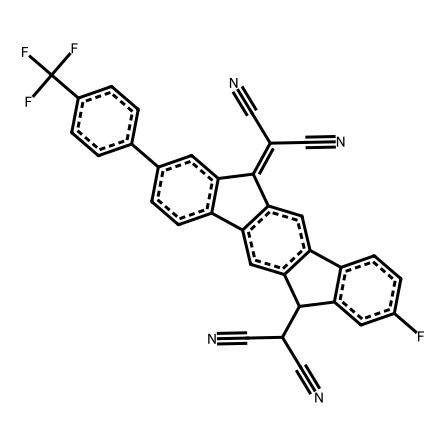 N#CC(C#N)=C1c2cc(-c3ccc(C(F)(F)F)cc3)ccc2-c2cc3c(cc21)-c1ccc(F)cc1C3C(C#N)C#N